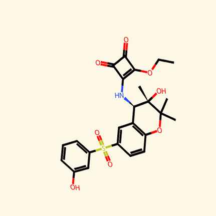 CCOc1c(N[C@@H]2c3cc(S(=O)(=O)c4cccc(O)c4)ccc3OC(C)(C)[C@@]2(C)O)c(=O)c1=O